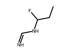 CCC(F)NC=N